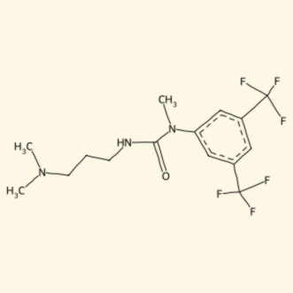 CN(C)CCCNC(=O)N(C)c1cc(C(F)(F)F)cc(C(F)(F)F)c1